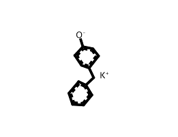 [K+].[O-]c1ccc(Cc2ccccc2)cc1